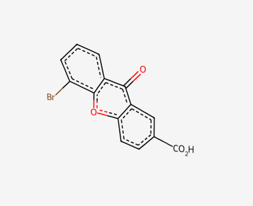 O=C(O)c1ccc2oc3c(Br)cccc3c(=O)c2c1